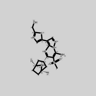 CS(=O)(=O)c1c([C@@H]2C[C@H]3CC[C@@H](C2)N3)nc2c(-c3cnc(CO)s3)cnn2c1N